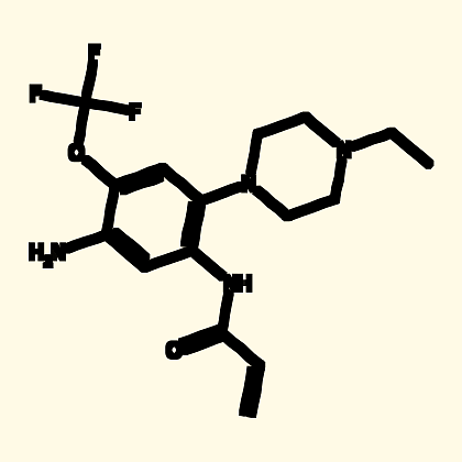 C=CC(=O)Nc1cc(N)c(OC(F)(F)F)cc1N1CCN(CC)CC1